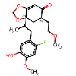 COCC[C@H]1C[C@]2(C(C)Cc3cc(O)c(OC)cc3F)OCOC2=CC1=O